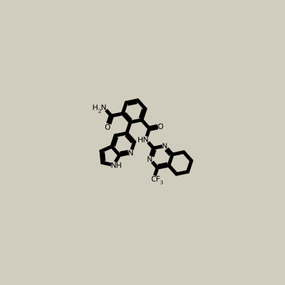 NC(=O)c1cccc(C(=O)Nc2nc3c(c(C(F)(F)F)n2)CCCC3)c1-c1cnc2[nH]ccc2c1